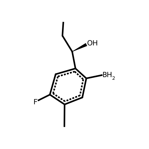 Bc1cc(C)c(F)cc1[C@H](O)CC